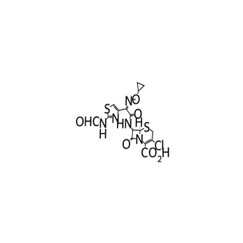 O=CNc1nc(/C(=N/OC2CC2)C(=O)N[C@@H]2C(=O)N3C(C(=O)O)=C(Cl)CS[C@H]23)cs1